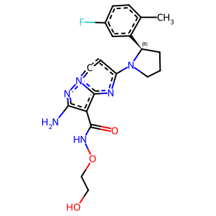 Cc1ccc(F)cc1[C@H]1CCCN1c1ccn2nc(N)c(C(=O)NOCCO)c2n1